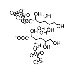 O=C([O-])[C@H](O)[C@@H](O)[C@H](O)[C@H](O)CO.O=C([O-])[C@H](O)[C@@H](O)[C@H](O)[C@H](O)CO.[Co+2].[Co+2].[Co+2].[O]=[W](=[O])([O-])[O-].[O]=[W](=[O])([O-])[O-]